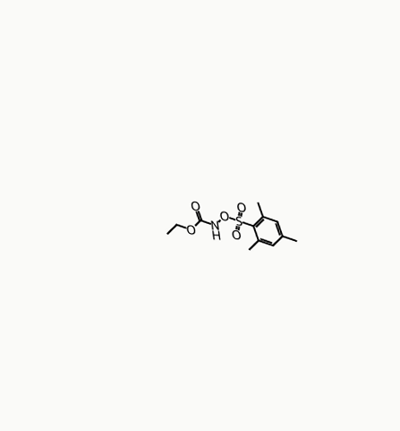 CCOC(=O)NOS(=O)(=O)c1c(C)cc(C)cc1C